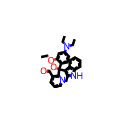 CCOc1cc(N(CC)CC)ccc1C1(c2c(C)[nH]c3ccccc23)OC(=O)c2cccnc21